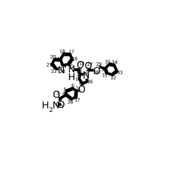 NOC(=O)c1ccc(O[C@H]2CC(C(=O)Nc3cccc4cccnc34)N(C(=O)OCc3ccccc3)C2)cc1